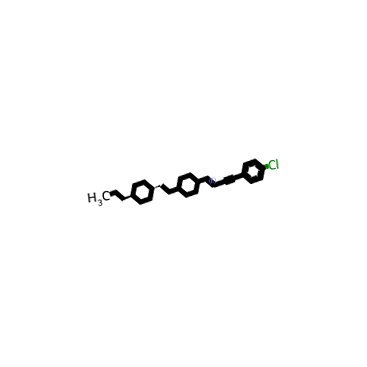 CCC[C@H]1CC[C@H](CCC2CCC(/C=C/C#Cc3ccc(Cl)cc3)CC2)CC1